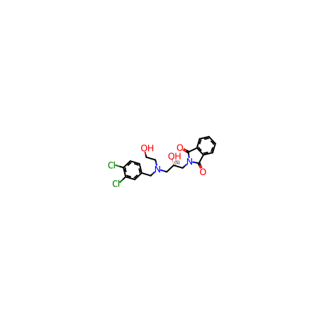 O=C1c2ccccc2C(=O)N1C[C@@H](O)CN(CCO)Cc1ccc(Cl)c(Cl)c1